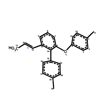 Cc1ccc(Oc2cccc(/C=C/C(=O)O)c2-c2ccc(C)cc2)cc1